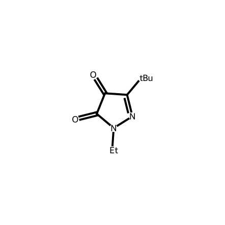 CCN1N=C(C(C)(C)C)C(=O)C1=O